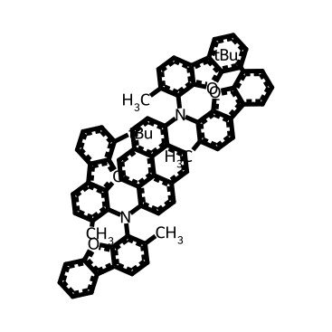 Cc1ccc2c(oc3ccccc32)c1N(c1ccc2ccc3c(N(c4c(C)ccc5c4oc4ccccc45)c4c(C)ccc5c4oc4c(C(C)(C)C)cccc45)ccc4ccc1c2c43)c1c(C)ccc2c1oc1c(C(C)(C)C)cccc12